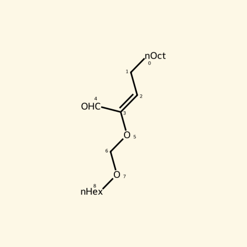 CCCCCCCCC/C=C(\C=O)OCOCCCCCC